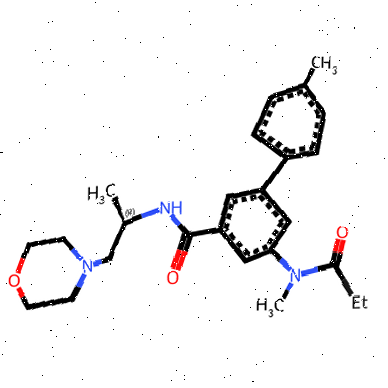 CCC(=O)N(C)c1cc(C(=O)N[C@H](C)CN2CCOCC2)cc(-c2ccc(C)cc2)c1